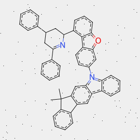 CC1(C)c2ccccc2-c2cc3c4ccccc4n(-c4ccc5c(c4)oc4cccc(C6CC(c7ccccc7)CC(c7ccccc7)=N6)c45)c3cc21